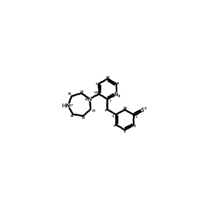 S=C1C=CC=C(Cc2ncccc2N2CCCNCC2)C1